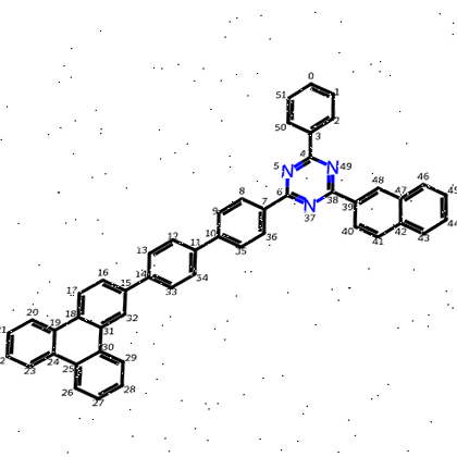 c1ccc(-c2nc(-c3ccc(-c4ccc(-c5ccc6c7ccccc7c7ccccc7c6c5)cc4)cc3)nc(-c3ccc4ccccc4c3)n2)cc1